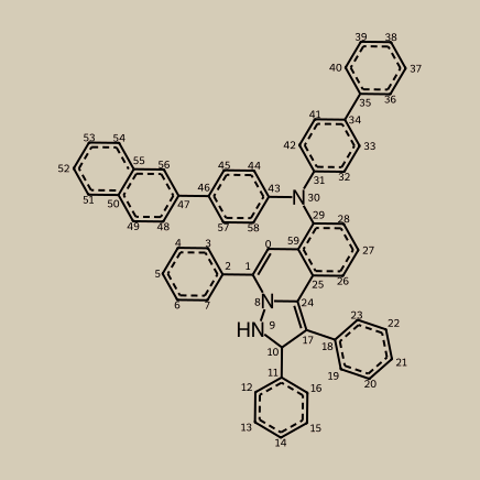 C1=C(c2ccccc2)N2NC(c3ccccc3)C(c3ccccc3)=C2c2cccc(N(c3ccc(-c4ccccc4)cc3)c3ccc(-c4ccc5ccccc5c4)cc3)c21